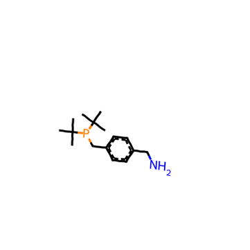 CC(C)(C)P(Cc1ccc(CN)cc1)C(C)(C)C